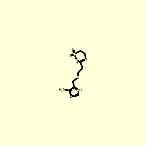 Cc1nc[nH]c1CSCCC1=NCCS(=O)(=O)N1